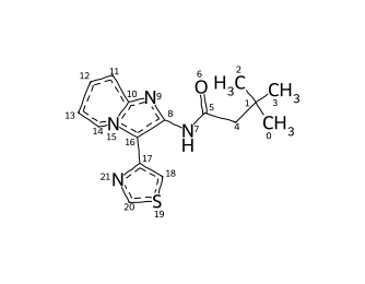 CC(C)(C)CC(=O)Nc1nc2ccccn2c1-c1cscn1